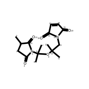 CC1CC(=O)N(C(C)(C)OC(C)(C)CN2C(=O)C=CC2=O)C1=O